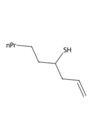 C=CCC(S)CCCCC